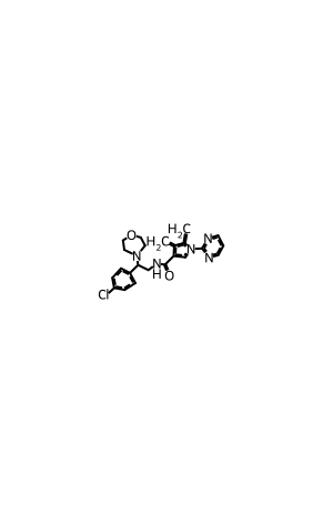 C=c1c(C(=O)NCC(c2ccc(Cl)cc2)N2CCOCC2)cn(-c2ncccn2)c1=C